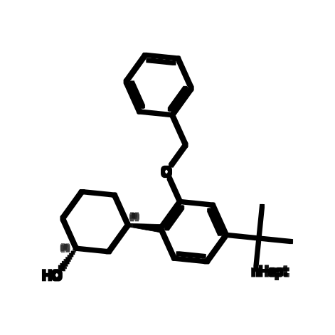 CCCCCCCC(C)(C)c1ccc([C@@H]2CCC[C@@H](O)C2)c(OCc2ccccc2)c1